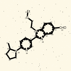 CCOCCn1c(-c2ccc(N3CCCC3C)nc2)nc2cc(C=O)ccc21